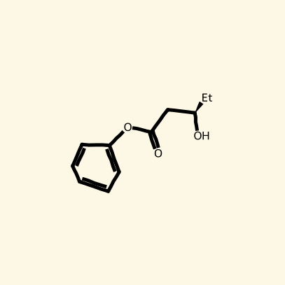 CC[C@@H](O)CC(=O)Oc1ccccc1